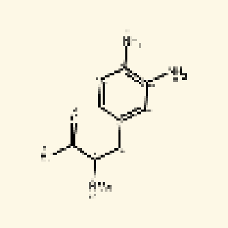 CCC(=O)C(Cc1ccc(N)c(N)c1)NC